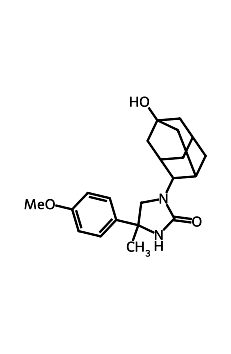 COc1ccc(C2(C)CN(C3C4CC5CC3CC(O)(C5)C4)C(=O)N2)cc1